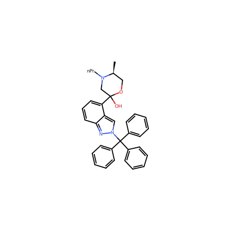 CCCN1CC(O)(c2cccc3nn(C(c4ccccc4)(c4ccccc4)c4ccccc4)cc23)OC[C@@H]1C